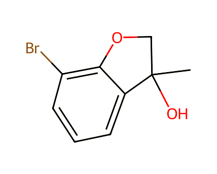 CC1(O)COc2c(Br)cccc21